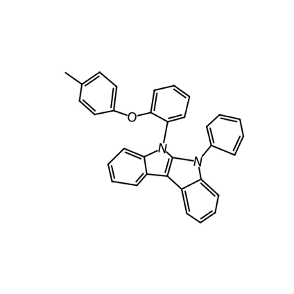 Cc1ccc(Oc2ccccc2-n2c3ccccc3c3c4ccccc4n(-c4ccccc4)c32)cc1